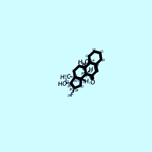 C[C@]12CC[C@H]3[C@@H](C(=O)C=C4CCCC[C@@]43C)[C@@H]1C[C@@H](F)[C@@H]2O